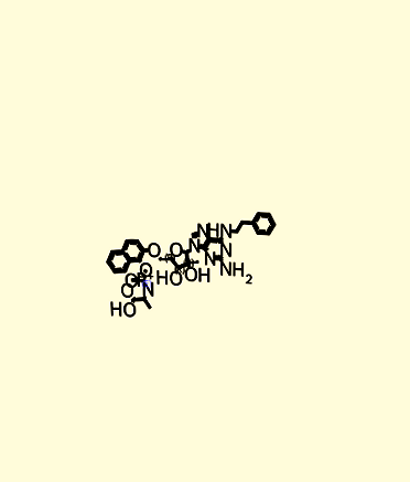 CC(/N=[P+](\[O-])Oc1c(OC[C@H]2OC(n3cnc4c(NCCc5ccccc5)nc(N)nc43)[C@](C)(O)[C@@H]2O)ccc2ccccc12)C(=O)O